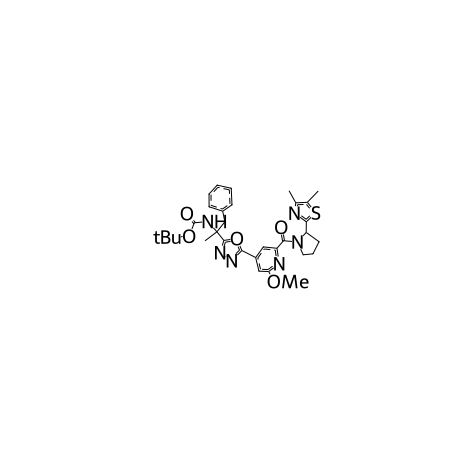 COc1cc(-c2nnc(C(C)(Cc3ccccc3)NC(=O)OC(C)(C)C)o2)cc(C(=O)N2CCCC2c2nc(C)c(C)s2)n1